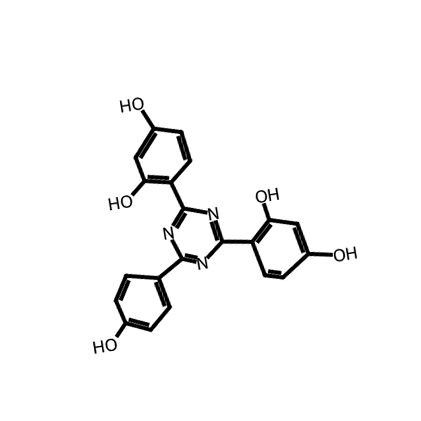 Oc1ccc(-c2nc(-c3ccc(O)cc3O)nc(-c3ccc(O)cc3O)n2)cc1